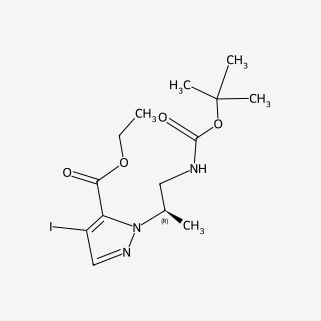 CCOC(=O)c1c(I)cnn1[C@H](C)CNC(=O)OC(C)(C)C